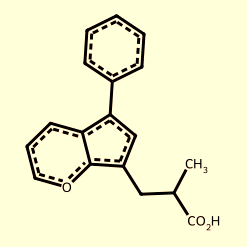 CC(Cc1cc(-c2ccccc2)c2cccoc1-2)C(=O)O